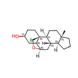 C[C@@]12CCC[C@H]1[C@@H]1C[C@H]3OC[C@@]4(CC[C@H](O)C[C@]34Br)[C@H]1CC2